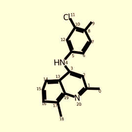 Cc1cc(Nc2ccc(C)c(Cl)c2)c2cccc(C)c2n1